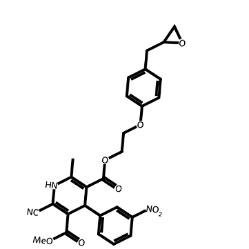 COC(=O)C1=C(C#N)NC(C)=C(C(=O)OCCOc2ccc(CC3CO3)cc2)C1c1cccc([N+](=O)[O-])c1